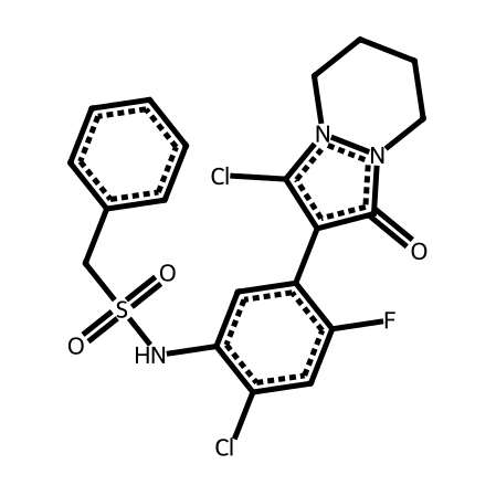 O=c1c(-c2cc(NS(=O)(=O)Cc3ccccc3)c(Cl)cc2F)c(Cl)n2n1CCCC2